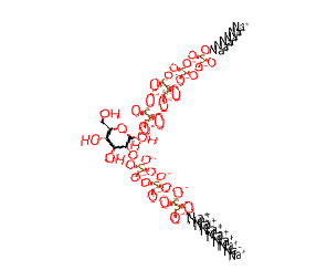 O=S(=O)([O-])[O-].O=S(=O)([O-])[O-].O=S(=O)([O-])[O-].O=S(=O)([O-])[O-].O=S(=O)([O-])[O-].O=S(=O)([O-])[O-].O=S(=O)([O-])[O-].OC[C@H]1OC(O)[C@H](O)[C@@H](O)[C@@H]1O.[Na+].[Na+].[Na+].[Na+].[Na+].[Na+].[Na+].[Na+].[Na+].[Na+].[Na+].[Na+].[Na+].[Na+]